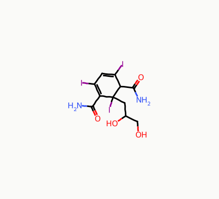 NC(=O)C1=C(I)C=C(I)C(C(N)=O)C1(I)CC(O)CO